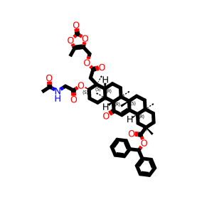 CC(=O)NCC(=O)O[C@H]1CC[C@@]2(C)[C@@H](CC[C@]3(C)[C@@H]2C(=O)C=C2[C@@H]4C[C@@](C)(C(=O)OC(c5ccccc5)c5ccccc5)CC[C@]4(C)CC[C@]23C)[C@]1(C)CC(=O)OCc1oc(=O)oc1C